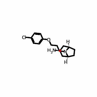 N[C@H]1C[C@H]2CC[C@@H](C1)N2CCCOc1ccc(Cl)cc1